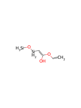 C=COC(O)=C[SiH2]O[SiH3]